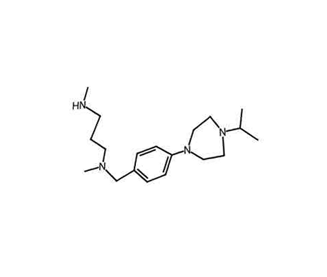 CNCCCN(C)Cc1ccc(N2CCN(C(C)C)CC2)cc1